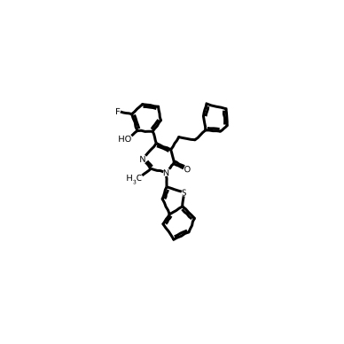 Cc1nc(-c2cccc(F)c2O)c(CCc2ccccc2)c(=O)n1-c1cc2ccccc2s1